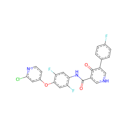 O=C(Nc1cc(F)c(Oc2ccnc(Cl)c2)cc1F)c1c[nH]cc(-c2ccc(F)cc2)c1=O